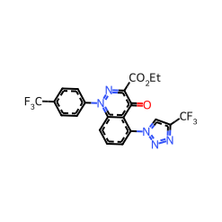 CCOC(=O)c1nn(-c2ccc(C(F)(F)F)cc2)c2cccc(-n3cc(C(F)(F)F)nn3)c2c1=O